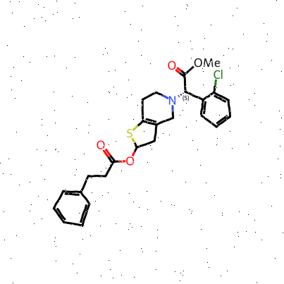 COC(=O)[C@H](c1ccccc1Cl)N1CCC2=C(CC(OC(=O)CCc3ccccc3)S2)C1